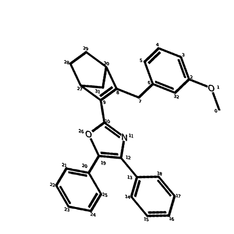 COc1cccc(CC2=C(c3nc(-c4ccccc4)c(-c4ccccc4)o3)C3CCC2C3)c1